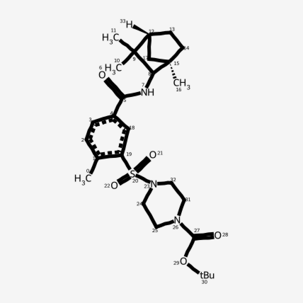 Cc1ccc(C(=O)NC2C(C)(C)[C@@H]3CC[C@]2(C)C3)cc1S(=O)(=O)N1CCN(C(=O)OC(C)(C)C)CC1